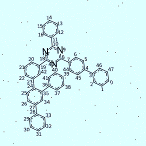 c1ccc(-c2ccc(-c3nc(-c4ccccc4)nc(-c4cccc(-c5ccc(-c6ccccc6)cc5-c5ccccc5)c4)n3)cc2)cc1